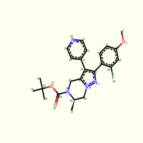 COc1ccc(-c2nn3c(c2-c2ccncc2)CN(C(=O)OC(C)(C)C)[C@H](C)C3)c(F)c1